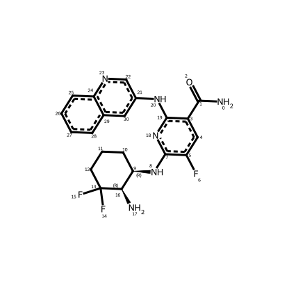 NC(=O)c1cc(F)c(N[C@@H]2CCCC(F)(F)[C@@H]2N)nc1Nc1cnc2ccccc2c1